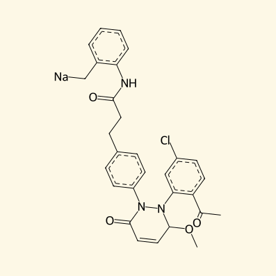 COC1C=CC(=O)N(c2ccc(CCC(=O)Nc3ccccc3[CH2][Na])cc2)N1c1cc(Cl)ccc1C(C)=O